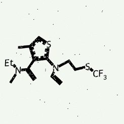 C=CN(CCSC(F)(F)F)c1scc(C)c1C(=C)N(C)CC